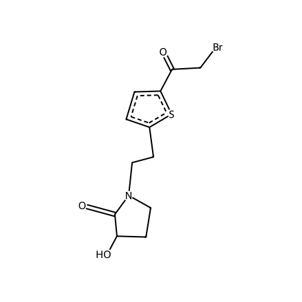 O=C(CBr)c1ccc(CCN2CCC(O)C2=O)s1